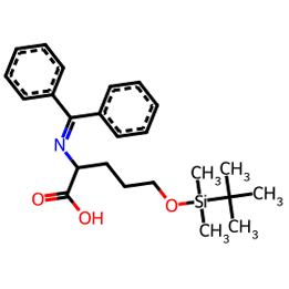 CC(C)(C)[Si](C)(C)OCCCC(N=C(c1ccccc1)c1ccccc1)C(=O)O